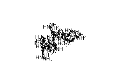 CC(C)[C@H](N)C(=O)N[C@H](C(=O)N[C@@H](CCCNC(=N)N)C(=O)N[C@H](C(=O)N[C@H](C(=O)N[C@@H](CCCNC(=N)N)C(=O)N[C@@H](CCCNC(=N)N)C(=O)N[C@H](C(=O)N[C@H](C(=O)N[C@@H](CCCNC(=N)N)C(=O)N[C@@H](CCCNC(=N)N)C(=O)O)C(C)C)C(C)C)C(C)C)C(C)C)C(C)C